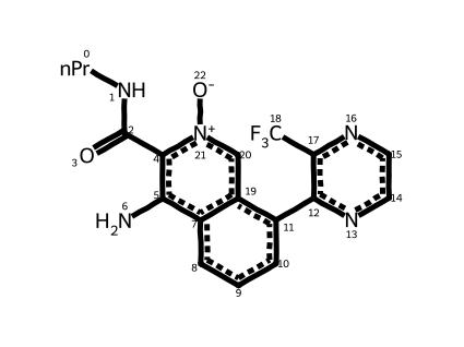 CCCNC(=O)c1c(N)c2cccc(-c3nccnc3C(F)(F)F)c2c[n+]1[O-]